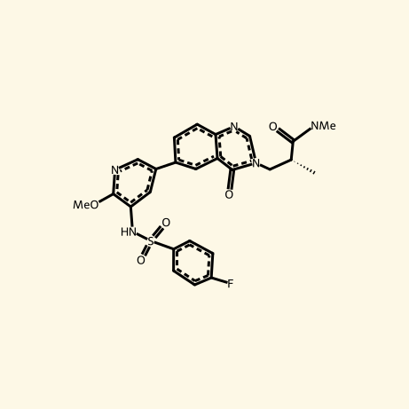 CNC(=O)[C@H](C)Cn1cnc2ccc(-c3cnc(OC)c(NS(=O)(=O)c4ccc(F)cc4)c3)cc2c1=O